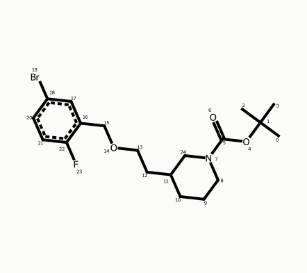 CC(C)(C)OC(=O)N1CCCC(CCOCc2cc(Br)ccc2F)C1